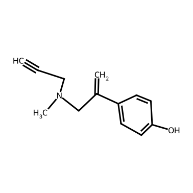 C#CCN(C)CC(=C)c1ccc(O)cc1